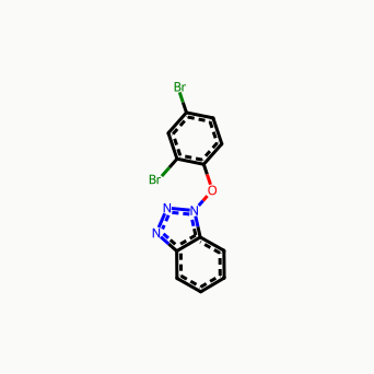 Brc1ccc(On2nnc3ccccc32)c(Br)c1